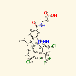 CCCC(c1ccc(C(=O)NCCC(=O)O)cc1)C(c1ccc(Cl)cc1)c1n[nH]c2c(Cl)cc(C(F)(F)F)cc12